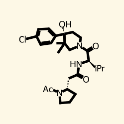 CC(=O)N1CCC[C@H]1CC(=O)N[C@@H](C(=O)N1CC[C@](O)(c2ccc(Cl)cc2)C(C)(C)C1)C(C)C